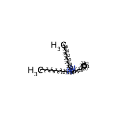 CCCCCCCCCCCCCn1cc(CCCc2ccccc2)nc1CCCCCCCCCCC